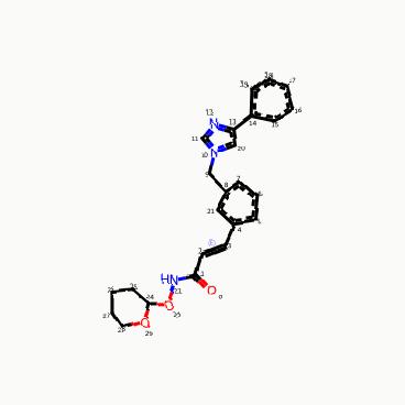 O=C(/C=C/c1cccc(Cn2cnc(-c3ccccc3)c2)c1)NOC1CCCCO1